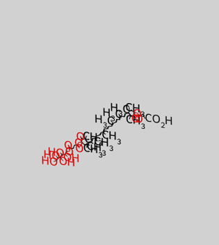 CC1=C(/C=C/C(C)=C/C=C/C(C)=C/C=C/C=C(C)/C=C/C=C(C)/C=C/C2=C(C)C(=O)C(OC(=O)CCC(=O)OCC(O)C(O)C(O)C(O)CO)CC2(C)C)C(C)(C)CC(OC(=O)CCC(=O)O)C1=O